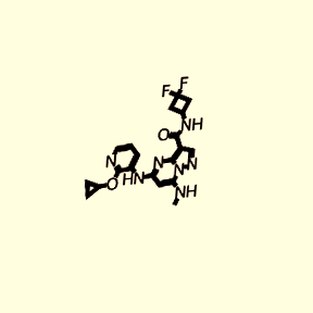 CNc1cc(Nc2cccnc2OC2CC2)nc2c(C(=O)NC3CC(F)(F)C3)cnn12